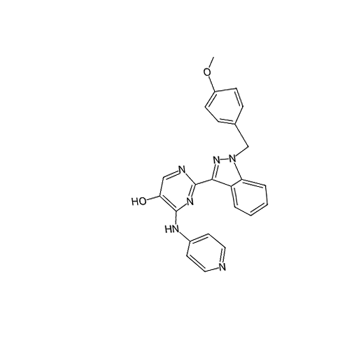 COc1ccc(Cn2nc(-c3ncc(O)c(Nc4ccncc4)n3)c3ccccc32)cc1